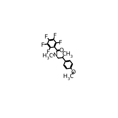 COc1ccc(C(C)CN(C)C(=O)c2c(F)c(F)c(F)c(F)c2F)cc1